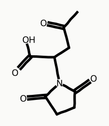 CC(=O)CC(C(=O)O)N1C(=O)CCC1=O